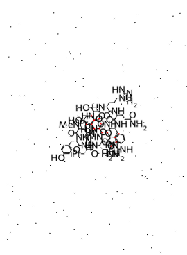 CN[C@@H](Cc1c[nH]cn1)C(=O)N[C@@H](Cc1ccc(O)cc1)C(=O)N[C@@H](CC(C)C)C(=O)N[C@@H](CC(N)=O)C(=O)N[C@@H](Cc1c[nH]c2ccccc12)C(=O)N[C@H](C(=O)N[C@H](C(=O)N[C@@H](CCCNC(=N)N)C(=O)N[C@@H](CCC(N)=O)C(=O)N[C@@H](CCCNC(=N)N)C(=O)N[C@@H](Cc1ccc(O)cc1)C(N)=O)[C@@H](C)O)C(C)C